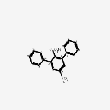 O=C(O)c1c(-c2ccccc2)cc([N+](=O)[O-])cc1-c1ccccc1